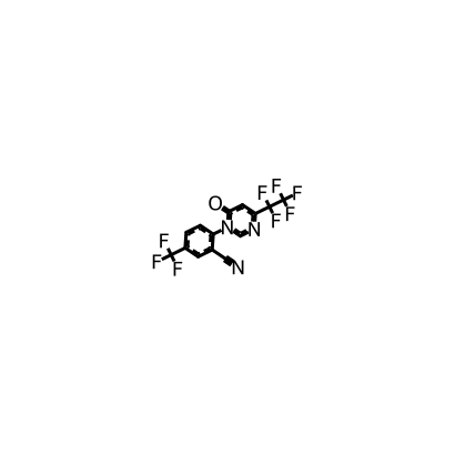 N#Cc1cc(C(F)(F)F)ccc1-n1cnc(C(F)(F)C(F)(F)F)cc1=O